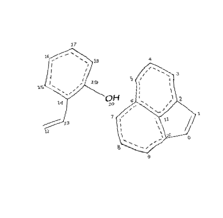 C1=Cc2cccc3cccc1c23.C=Cc1ccccc1O